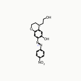 O=[N+]([O-])c1ccc(/N=N/c2cc3c(cc2O)N(CCO)CCO3)cc1